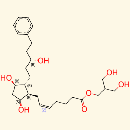 O=C(CCC/C=C\C[C@@H]1[C@@H](CC[C@@H](O)CCc2ccccc2)[C@H](O)C[C@@H]1O)OCC(CO)CO